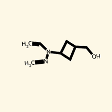 C=CN(N=C)C1CC(CO)C1